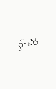 COc1ccc(OC)c(CCNCc2cccc(C)c2Cl)c1